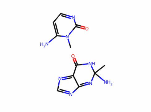 CC1(N)N=C2N=CN=C2C(=O)N1.Cn1c(N)ccnc1=O